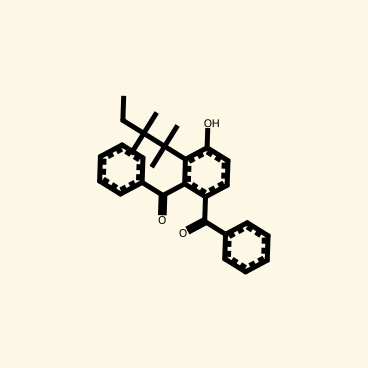 CCC(C)(C)C(C)(C)c1c(O)ccc(C(=O)c2ccccc2)c1C(=O)c1ccccc1